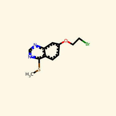 CSc1ncnc2cc(OCCBr)ccc12